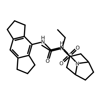 CCN(CC)C1CC2CCC(C1)N2S(=O)(=O)NC(=O)Nc1c2c(cc3c1CCC3)CCC2